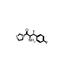 C[C@@H](c1ccc(F)cc1)C(N)C(=O)N1CCSC1